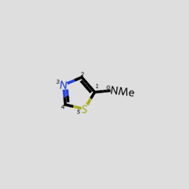 [CH2]Nc1cncs1